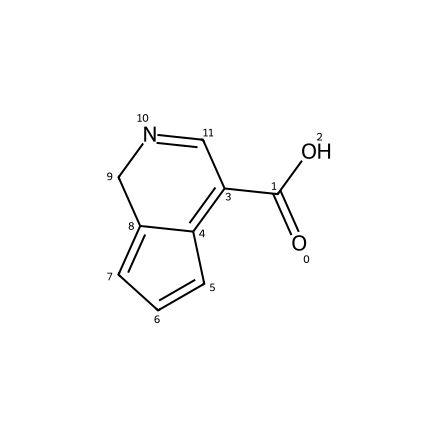 O=C(O)C1=C2C=CC=C2CN=C1